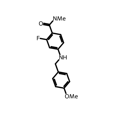 CNC(=O)c1ccc(NCc2ccc(OC)cc2)cc1F